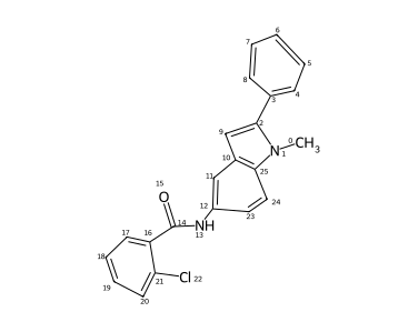 Cn1c(-c2ccccc2)cc2cc(NC(=O)c3ccccc3Cl)ccc21